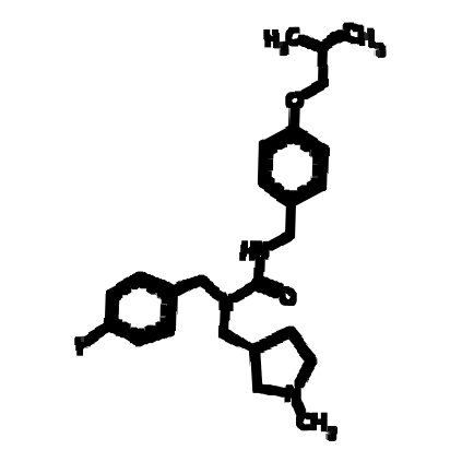 CC(C)COc1ccc(CNC(=O)N(Cc2ccc(F)cc2)C[C@H]2CCN(C)C2)cc1